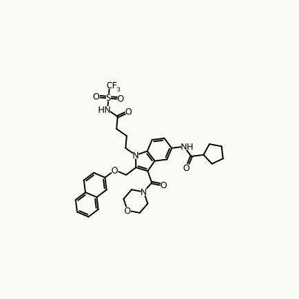 O=C(CCCn1c(COc2ccc3ccccc3c2)c(C(=O)N2CCOCC2)c2cc(NC(=O)C3CCCC3)ccc21)NS(=O)(=O)C(F)(F)F